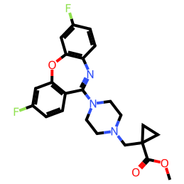 COC(=O)C1(CN2CCN(C3=Nc4ccc(F)cc4Oc4cc(F)ccc43)CC2)CC1